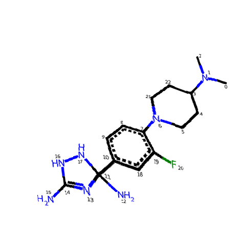 CN(C)C1CCN(c2ccc(C3(N)N=C(N)NN3)cc2F)CC1